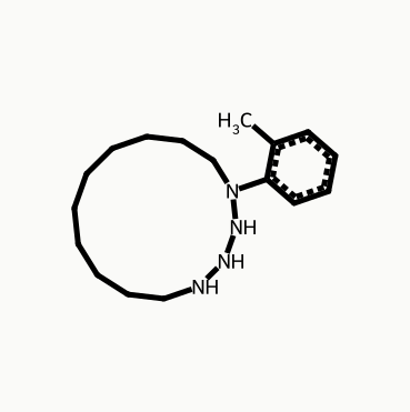 Cc1ccccc1N1CCCCCCCCCCNNN1